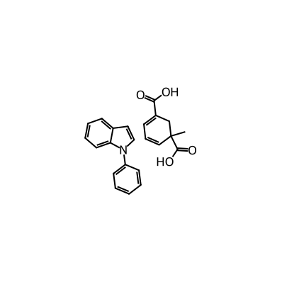 CC1(C(=O)O)C=CC=C(C(=O)O)C1.c1ccc(-n2ccc3ccccc32)cc1